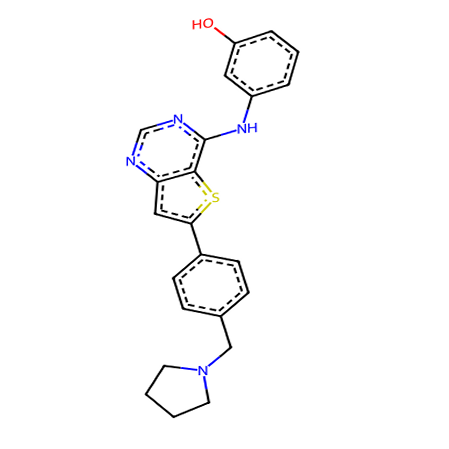 Oc1cccc(Nc2ncnc3cc(-c4ccc(CN5CCCC5)cc4)sc23)c1